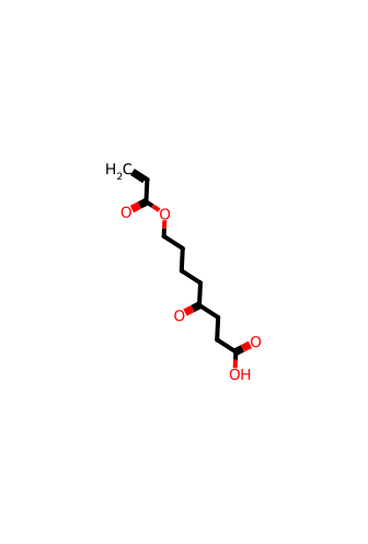 C=CC(=O)OCCCCC(=O)CCC(=O)O